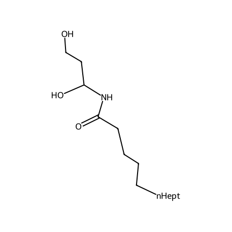 CCCCCCCCCCCC(=O)NC(O)CCO